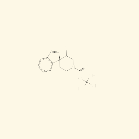 CC1CN(C(=O)OC(C)(C)C)CCC12C=Cc1ccccc12